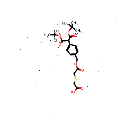 CC(C)(C)OC(=O)C(C(=O)OC(C)(C)C)c1ccc(COC(=O)CSCC(=O)O)cc1